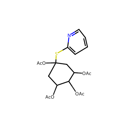 CC(=O)OC1CC(OC(C)=O)(Sc2ccccn2)CC(OC(C)=O)C1OC(C)=O